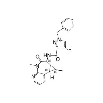 C[C@@H]1C2[C@H](NC(=O)c3nn(Cc4ccccc4)cc3F)C(=O)N(C)c3ncccc3[C@@H]21